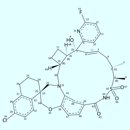 C[C@@H]1[C@@H](C)C/C=C/[C@](O)(c2cccc(F)n2)[C@@H]2CC[C@H]2CN2C[C@@]3(CCCc4cc(Cl)ccc43)COc3ccc(cc32)C(=O)NS1(=O)=O